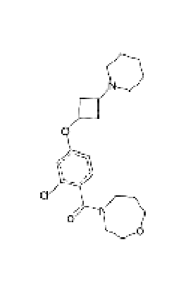 O=C(c1ccc(OC2CC(N3CCCCC3)C2)cc1Cl)N1CCCOCC1